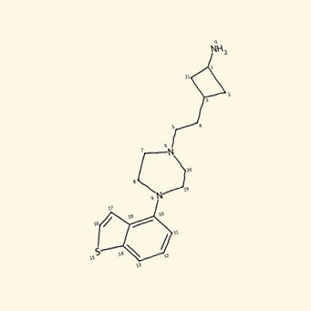 NC1CC(CCN2CCN(c3cccc4sccc34)CC2)C1